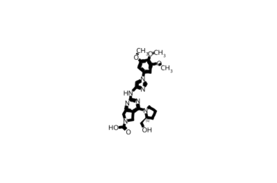 COc1cc(-n2cnc(Nc3nc4c(c(N5CCC[C@H]5CO)n3)CN(C(=O)O)C4)c2)cc(OC)c1OC